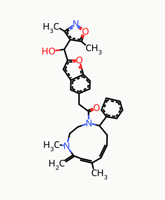 C=C1/C=C(C)\C=C/CC(c2ccccc2)N(C(=O)Cc2ccc3oc(C(O)c4c(C)noc4C)cc3c2)CCN1C